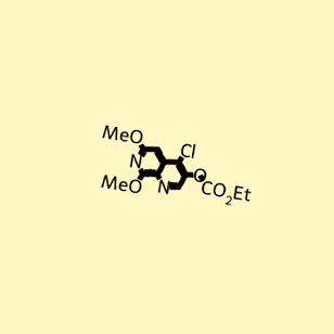 CCOC(=O)Oc1cnc2c(OC)nc(OC)cc2c1Cl